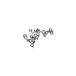 COc1cc(-c2cnc(N)c(-c3ccc(NC(=O)c4cn(CC5CCOCC5)cc(-c5ccc(C)cc5F)c4=O)cc3F)c2)ccc1OC[C@H]1COCCO1